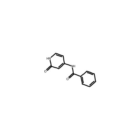 O=C(Nc1cc[nH]c(=O)c1)c1ccccc1